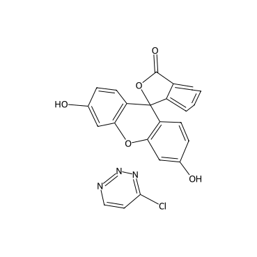 Clc1ccnnn1.O=C1OC2(c3ccc(O)cc3Oc3cc(O)ccc32)c2ccccc21